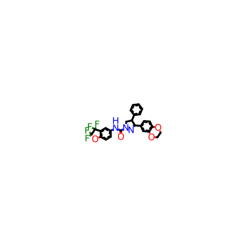 O=C(Nc1ccc2c(c1)C(F)(F)C(F)(F)O2)N1CC(c2ccccc2)C(c2ccc3c(c2)OCCO3)=N1